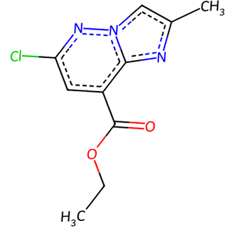 CCOC(=O)c1cc(Cl)nn2cc(C)nc12